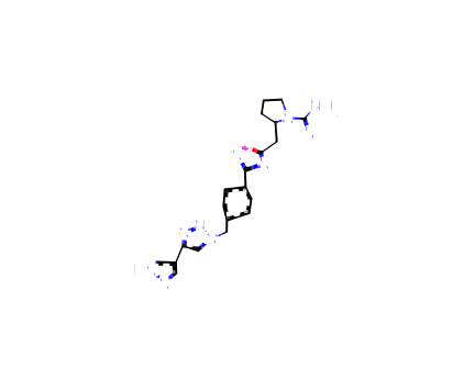 N=C(N)N1CCCC1Cc1nc(-c2ccc(Cn3cc(-c4cn[nH]c4)nn3)cc2)no1